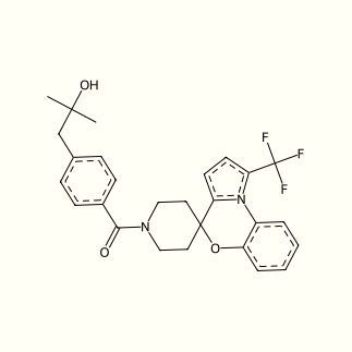 CC(C)(O)Cc1ccc(C(=O)N2CCC3(CC2)Oc2ccccc2-n2c(C(F)(F)F)ccc23)cc1